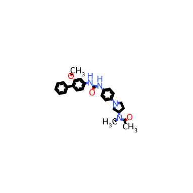 COc1cc(NC(=O)Nc2ccc(N3CCC(N(C)C(C)=O)C3)cc2)ccc1-c1ccccc1